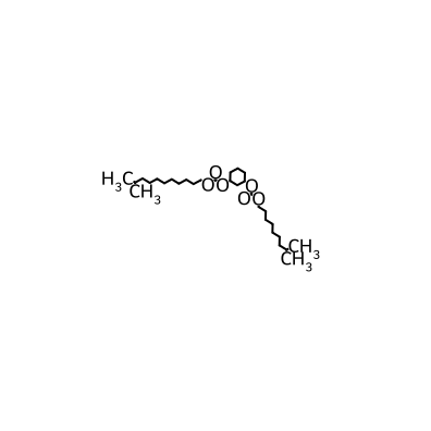 CC(C)CCCCCCCCCOC(=O)OC1CCCC(OC(=O)OCCCCCCCC(C)C)C1